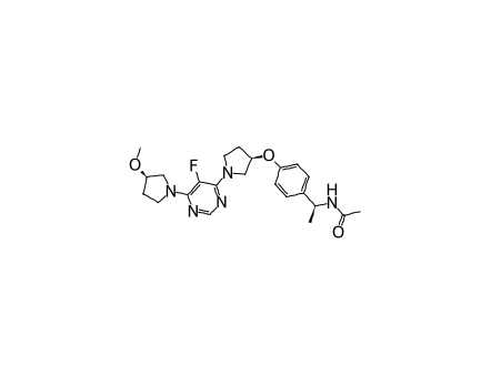 CO[C@@H]1CCN(c2ncnc(N3CC[C@@H](Oc4ccc([C@H](C)NC(C)=O)cc4)C3)c2F)C1